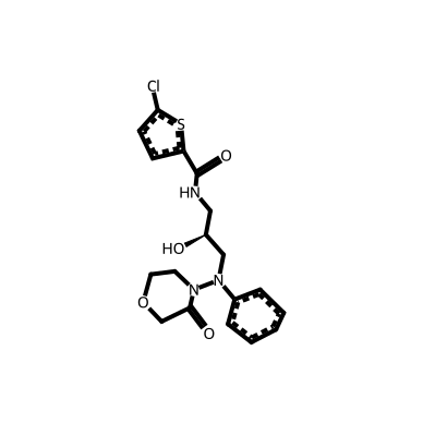 O=C(NC[C@H](O)CN(c1ccccc1)N1CCOCC1=O)c1ccc(Cl)s1